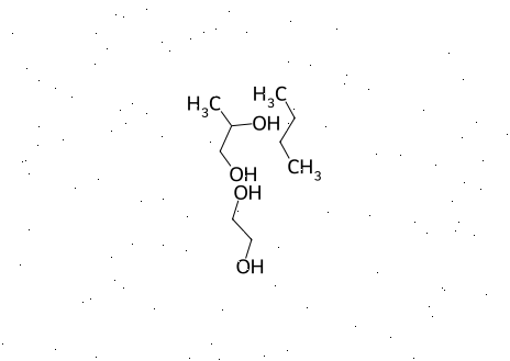 CC(O)CO.CCCC.OCCO